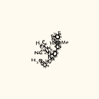 C=CC(=O)N1CCN(c2nc(OC[C@@H]3CCCN3C)nc3ccc(-c4cnc(OC)c(NS(=O)(=O)c5ccc(F)cc5F)c4)cc23)C[C@@H]1CC#N